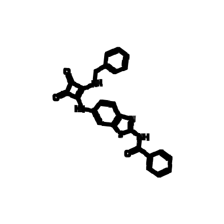 O=C(Nc1nc2ccc(Nc3c(NCc4ccccc4)c(=O)c3=O)cc2s1)c1ccccc1